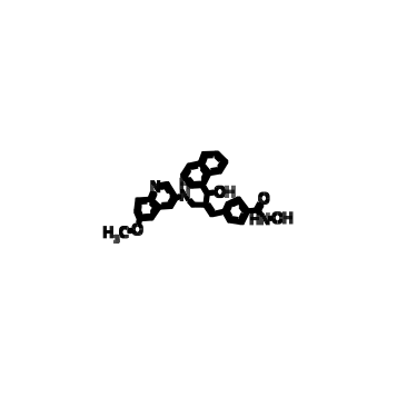 COc1ccc2ncc(NCC(=Cc3ccc(C(=O)NO)cc3)C(O)c3cccc4ccccc34)cc2c1